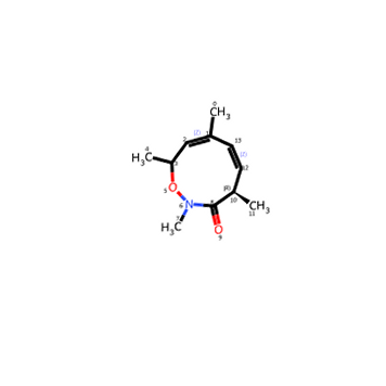 CC1=C/C(C)ON(C)C(=O)[C@H](C)/C=C\1